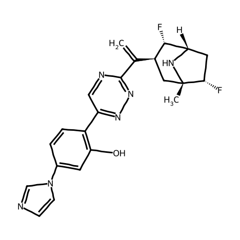 C=C(c1ncc(-c2ccc(-n3ccnc3)cc2O)nn1)[C@@H]1C[C@]2(C)N[C@@H](C[C@@H]2F)[C@H]1F